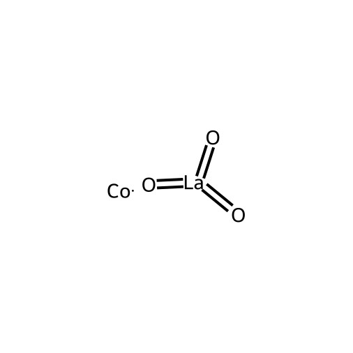 [Co].[O]=[La](=[O])=[O]